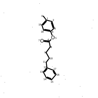 Cc1ccc(OC(=O)CCCCc2ccccc2)cc1